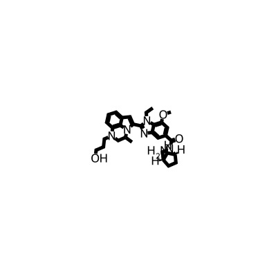 CCn1c(-c2cc3cccc4c3n2C(C)CN4CCCO)nc2cc(C(=O)N3C[C@H]4CC[C@@H]3[C@@H]4N)cc(OC)c21